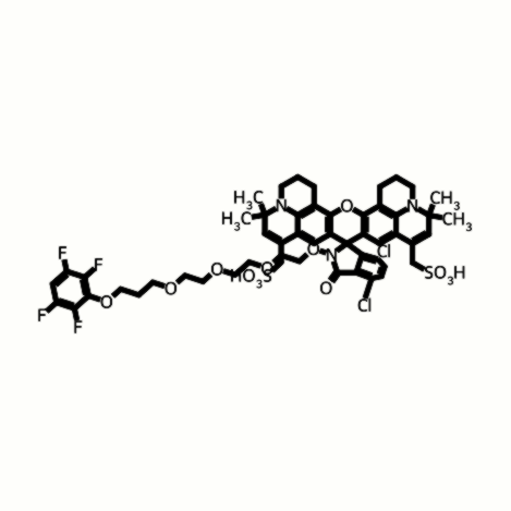 CC1(C)C=C(CS(=O)(=O)O)c2cc3c(c4c2N1CCC4)Oc1c(cc2c4c1CCCN4C(C)(C)C=C2CS(=O)(=O)O)C31c2c(Cl)ccc(Cl)c2C(=O)N1OCCOCCOCCOCCCOc1c(F)c(F)cc(F)c1F